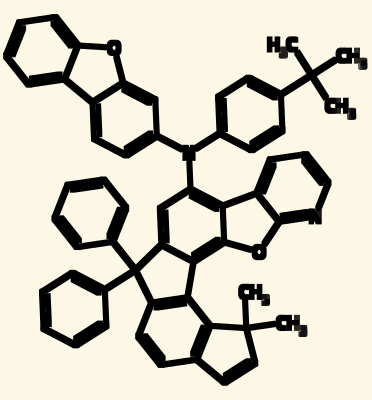 CC(C)(C)c1ccc(N(c2ccc3c(c2)oc2ccccc23)c2cc3c(c4oc5ncccc5c24)-c2c(ccc4c2C(C)(C)C=C4)C3(c2ccccc2)c2ccccc2)cc1